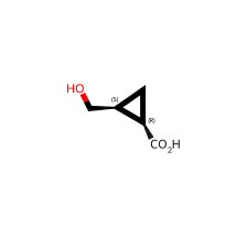 O=C(O)[C@@H]1C[C@@H]1CO